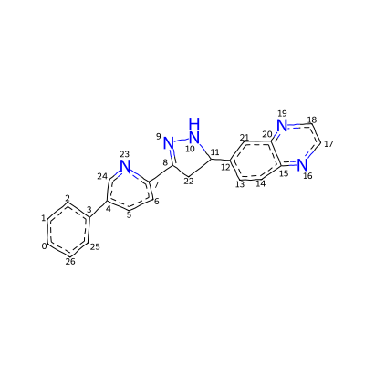 c1ccc(-c2ccc(C3=NNC(c4ccc5nccnc5c4)C3)nc2)cc1